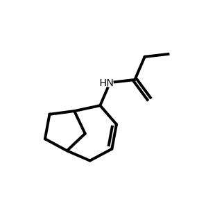 C=C(CC)NC1C=CCC2CCC1C2